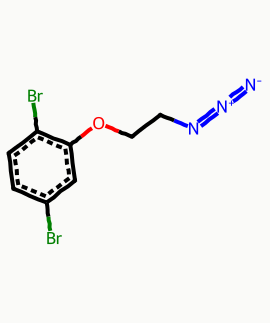 [N-]=[N+]=NCCOc1cc(Br)ccc1Br